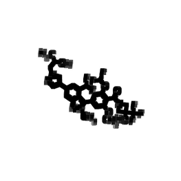 COc1cc(-c2c3c(C(F)F)cc(-c4cnn(C[C@@H](C)O)c4)cc3nn2C)cc(OC(F)F)c1C(=O)N1CC(O)(C(F)(F)F)C1